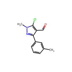 Cc1cccc(-c2nn(C)c(Cl)c2C=O)c1